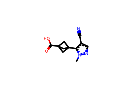 Cn1ncc(C#N)c1C12CC(C(=O)O)(C1)C2